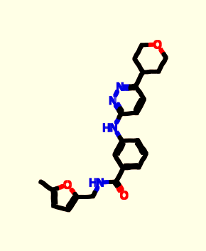 Cc1ccc(CNC(=O)c2cccc(Nc3ccc(C4CCOCC4)nn3)c2)o1